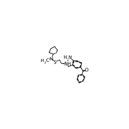 CN(SCCNCc1cc(C(=O)c2ccccc2)ccc1N)C1CCCCC1